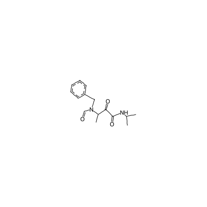 CC(C)NC(=O)C(=O)C(C)N(C=O)Cc1ccccc1